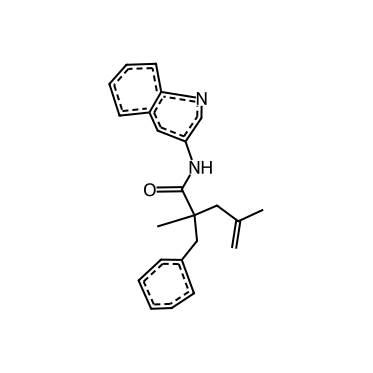 C=C(C)CC(C)(Cc1ccccc1)C(=O)Nc1cnc2ccccc2c1